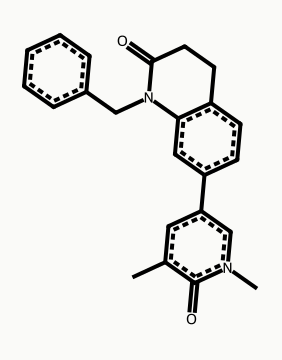 Cc1cc(-c2ccc3c(c2)N(Cc2ccccc2)C(=O)CC3)cn(C)c1=O